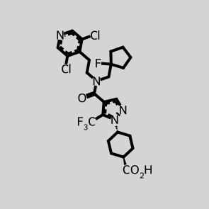 O=C(c1cnn([C@H]2CC[C@H](C(=O)O)CC2)c1C(F)(F)F)N(CCc1c(Cl)cncc1Cl)CC1(F)CCCC1